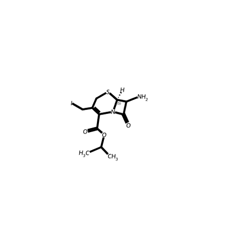 CC(C)OC(=O)C1=C(CI)CS[C@H]2C(N)C(=O)N12